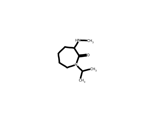 CNC1CCCCN(C(C)C)C1=O